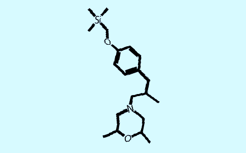 CC(Cc1ccc(OC[Si](C)(C)C)cc1)CN1CC(C)OC(C)C1